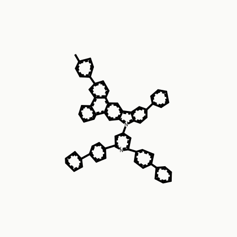 Cc1ccc(-c2ccc3c(c2)c2ccccc2c2cc4c(cc32)c2cc(-c3ccccc3)ccc2n4-c2cc(-c3ccc(-c4ccccc4)cc3)nc(-c3ccc(-c4ccccc4)cc3)c2)cc1